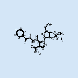 CC1(C)OC2C(CO)OC(n3ncc(C(N)=O)c3NC(=S)NC(=O)c3ccccc3)C2O1